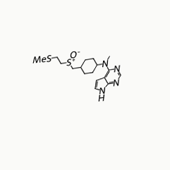 CSCC[S+]([O-])CC1CCC(N(C)c2ncnc3[nH]ccc23)CC1